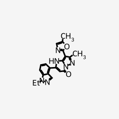 CCn1ncc2c(-c3cc(=O)n4nc(C)c(-c5ncc(C)o5)c4[nH]3)cccc21